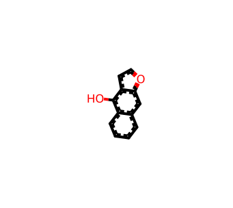 Oc1c2ccccc2cc2occc12